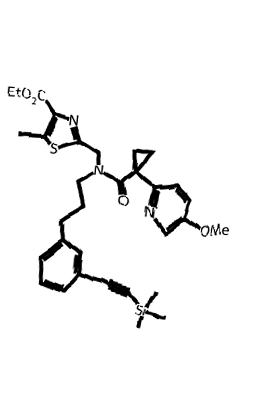 CCOC(=O)c1nc(CN(CCCc2cccc(C#C[Si](C)(C)C)c2)C(=O)C2(c3ccc(OC)cn3)CC2)sc1C